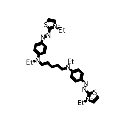 CCN(CCCCCN(CC)c1ccc(N=Nc2scc[n+]2CC)cc1)c1ccc(N=Nc2scc[n+]2CC)cc1